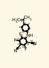 CN(C)c1ccc(Nc2c(F)c(F)c(C#N)c(F)c2C#N)cc1